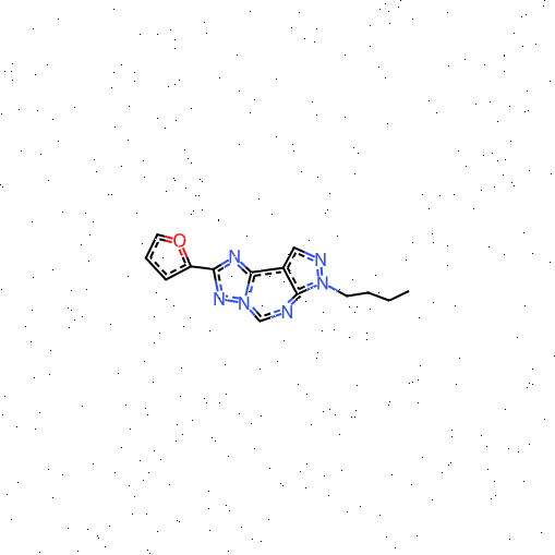 CCCCn1ncc2c1ncn1nc(-c3ccco3)nc21